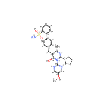 CCCCc1nc(C2CCCC2)n(-c2ncc(OCC)cn2)c(=O)c1Cc1ccc(-c2ccccc2S(N)(=O)=O)cc1